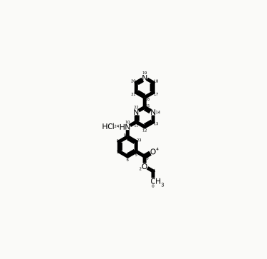 CCOC(=O)c1cccc(Nc2ccnc(-c3ccncc3)n2)c1.Cl